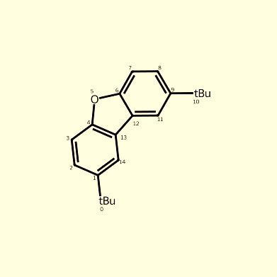 CC(C)(C)c1ccc2oc3ccc(C(C)(C)C)cc3c2c1